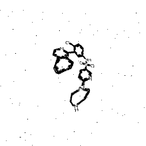 O=S(=O)(Nc1ccc(Cl)c(-c2nccc3ccccc23)c1)c1ccc(N2CCNCC2)nc1